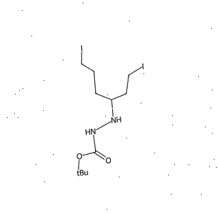 CC(C)(C)OC(=O)NNC(CCI)CCCI